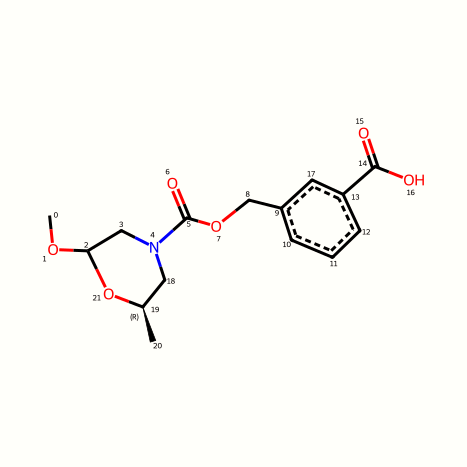 COC1CN(C(=O)OCc2cccc(C(=O)O)c2)C[C@@H](C)O1